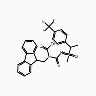 CC(c1ccc(C(F)(F)F)cc1)S(C)(=O)=NC(=S)N(CC1c2ccccc2-c2ccccc21)C(=O)O